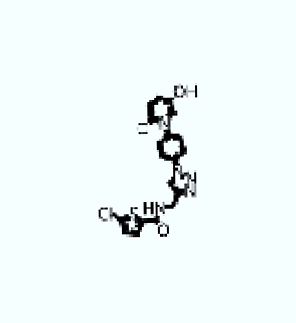 O=C(NCc1cn(-c2ccc(-n3cc(O)ccc3=O)cc2)nn1)c1ccc(Cl)s1